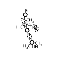 Cc1cc(N2CCN(c3ccc(-n4c(C)nn(C(C)C(=O)c5ccc(Br)cc5)c4=O)cc3)CC2)cc(C)c1O.[O-][n+]1cc[nH]n1